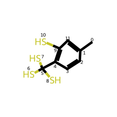 Cc1ccc(C(S)(S)S)c(S)c1